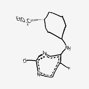 CCOC(=O)[C@@H]1CCCC(Nc2nc(Cl)ncc2F)C1